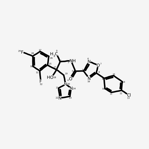 CC(NC(=O)c1noc(-c2ccc(Cl)cc2)n1)C(O)(Cn1cncn1)c1ccc(F)cc1F